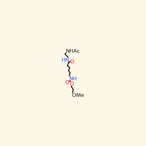 COCCCOC(=O)NCCCCCC(=O)NCCNC(C)=O